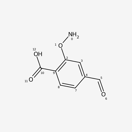 NOc1cc(C=O)ccc1C(=O)O